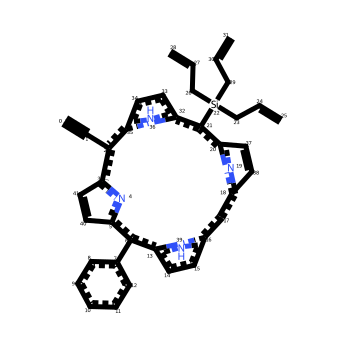 C#Cc1c2nc(c(-c3ccccc3)c3ccc(cc4nc(c([Si](CC=C)(CC=C)CC=C)c5ccc1[nH]5)C=C4)[nH]3)C=C2